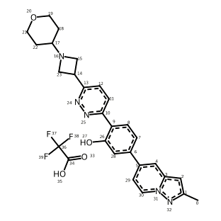 Cc1cc2cc(-c3ccc(-c4ccc(C5CN(C6CCOCC6)C5)nn4)c(O)c3)ccn2n1.O=C(O)C(F)(F)F